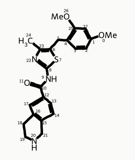 COc1ccc(Cc2sc(NC(=O)c3ccc4c(c3)CCNC4)nc2C)c(OC)c1